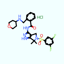 CC1(C)c2[nH]nc(NC(=O)c3ccccc3CNC3CCOCC3)c2CN1S(=O)(=O)c1cc(F)cc(F)c1.Cl